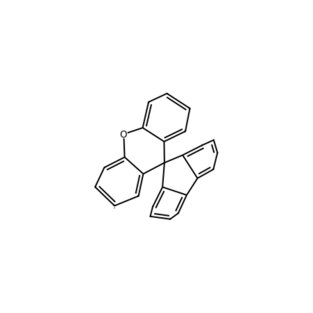 [c]1ccc2c(c1)C1(c3ccccc3O2)c2ccccc2-c2ccccc21